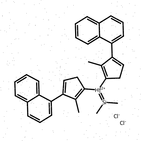 CC1=[C]([Hf+2]([C]2=C(C)C(c3cccc4ccccc34)=CC2)=[Si](C)C)CC=C1c1cccc2ccccc12.[Cl-].[Cl-]